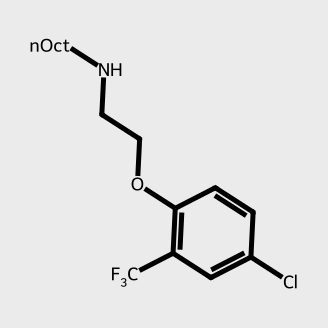 CCCCCCCCNCCOc1ccc(Cl)cc1C(F)(F)F